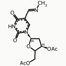 CN=Cc1cn([C@H]2C[C@@H](OC(C)=O)C(COC(C)=O)O2)c(=O)[nH]c1=O